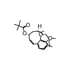 COc1ccc2c3c1O[C@H](CCCN(C)C2)C[C@@H](OC(=O)C(C)(C)C)/C=C\3